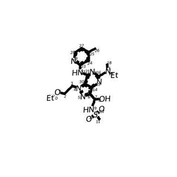 CCOCCn1nc(C(O)NS(C)(=O)=O)c2nc(N(C)CC)nc(Nc3cc(C)ccn3)c21